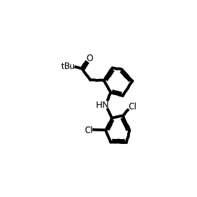 CC(C)(C)C(=O)Cc1ccccc1Nc1c(Cl)cccc1Cl